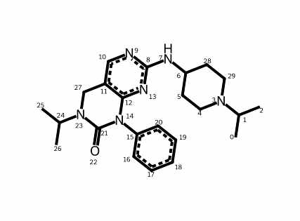 CC(C)N1CCC(Nc2ncc3c(n2)N(c2ccccc2)C(=O)N(C(C)C)C3)CC1